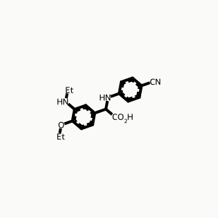 CCNc1cc(C(Nc2ccc(C#N)cc2)C(=O)O)ccc1OCC